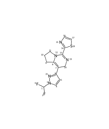 FC(F)n1ccc(C2=C3CCCN3C(c3nccs3)=NC2)n1